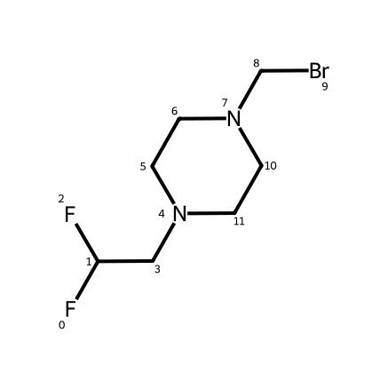 FC(F)CN1CCN(CBr)CC1